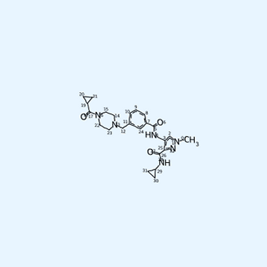 Cn1cc(NC(=O)c2cccc(CN3CCN(C(=O)C4CC4)CC3)c2)c(C(=O)NC2CC2)n1